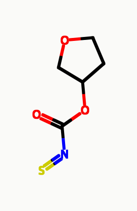 O=C(N=S)OC1CCOC1